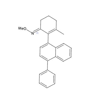 CO/N=C1\CCCC(C)=C1c1ccc(-c2ccccc2)c2ccccc12